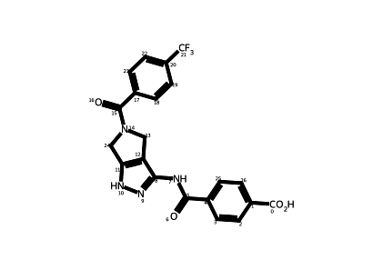 O=C(O)c1ccc(C(=O)Nc2n[nH]c3c2CN(C(=O)c2ccc(C(F)(F)F)cc2)C3)cc1